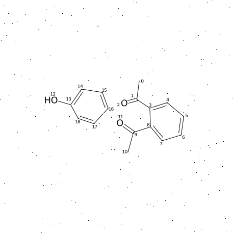 CC(=O)c1ccccc1C(C)=O.Oc1ccccc1